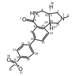 CN1C[C@@H]2CNC(=O)c3cc(-c4ccc(S(C)(=O)=O)cc4)ccc3[C@H]2C1